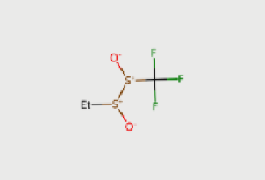 CC[S+]([O-])[S+]([O-])C(F)(F)F